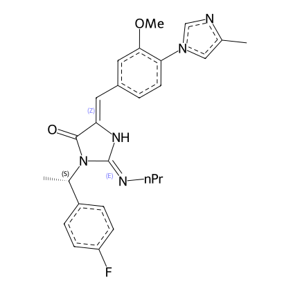 CCC/N=C1\N/C(=C\c2ccc(-n3cnc(C)c3)c(OC)c2)C(=O)N1[C@@H](C)c1ccc(F)cc1